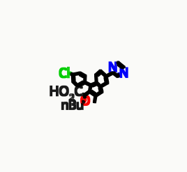 CCCCOC(C(=O)O)c1c(C)cc2cc(-c3cnccn3)ccc2c1-c1ccc(Cl)cc1